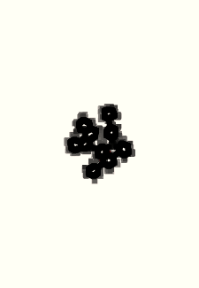 c1ccc(-c2ccc(-c3ccccc3N(c3ccc(-c4ccccc4)cc3)c3cccc(-c4cc5ccccc5c5c4ccc4ccccc45)c3)cc2)cc1